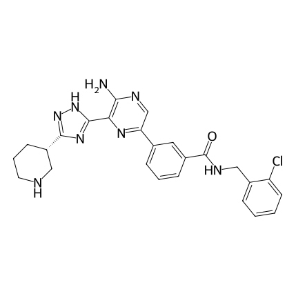 Nc1ncc(-c2cccc(C(=O)NCc3ccccc3Cl)c2)nc1-c1nc([C@H]2CCCNC2)n[nH]1